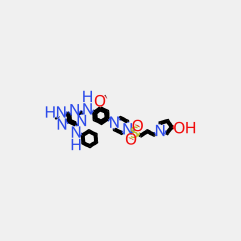 COc1cc(N2CCN(S(=O)(=O)CCCN3CCC(O)C3)CC2)ccc1Nc1nc(NC2CCCCC2)c2nc[nH]c2n1